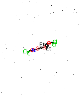 CCc1cc(OCC=C(Cl)Cl)cc(CC)c1OCCCCOC/C=N/OCC=C(Cl)Cl